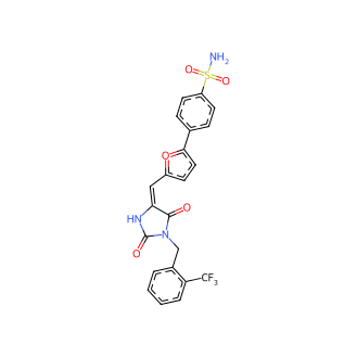 NS(=O)(=O)c1ccc(-c2ccc(/C=C3/NC(=O)N(Cc4ccccc4C(F)(F)F)C3=O)o2)cc1